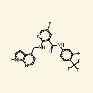 O=C(Nc1ccc(C(F)(F)F)c(F)c1)c1cc(F)cnc1NCc1ccnc2[nH]ccc12